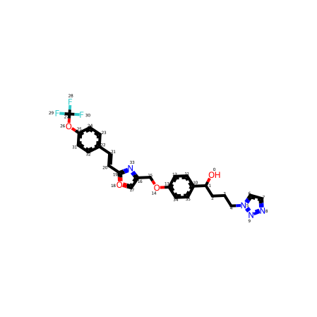 OC(CCCn1ccnn1)c1ccc(OCc2coc(C=Cc3ccc(OC(F)(F)F)cc3)n2)cc1